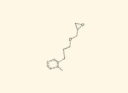 Cc1ccccc1CCCOCC1CO1